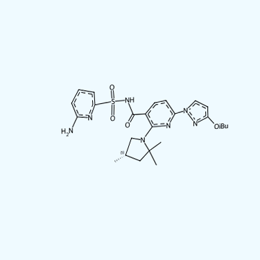 CC(C)COc1ccn(-c2ccc(C(=O)NS(=O)(=O)c3cccc(N)n3)c(N3C[C@@H](C)CC3(C)C)n2)n1